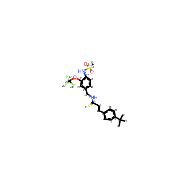 CC(C)(C)c1ccc(C=CC(=S)NCc2ccc(NS(C)(=O)=O)c(OC(F)(F)F)c2)cc1